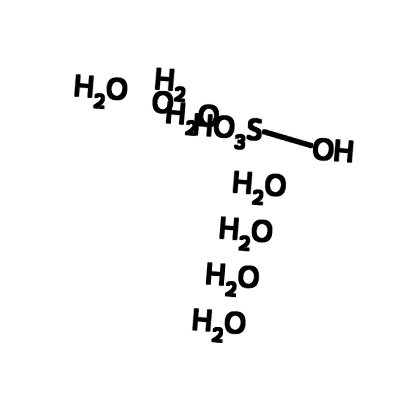 O.O.O.O.O.O.O.O=S(=O)(O)O